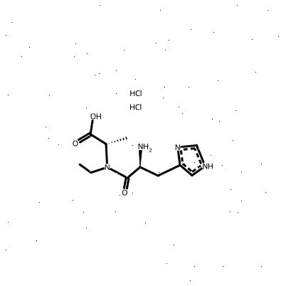 CCN(C(=O)[C@@H](N)Cc1c[nH]cn1)[C@@H](C)C(=O)O.Cl.Cl